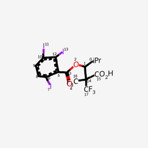 CC(C)C(OC(=O)c1c(I)ccc(I)c1I)C(C(=O)O)(C(F)(F)F)C(F)(F)F